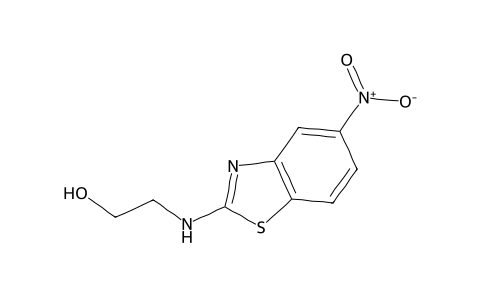 O=[N+]([O-])c1ccc2sc(NCCO)nc2c1